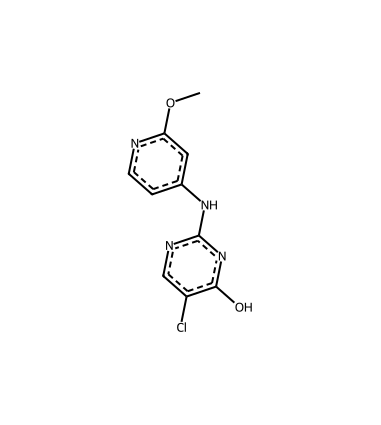 COc1cc(Nc2ncc(Cl)c(O)n2)ccn1